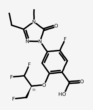 CCc1nn(-c2cc(O[C@@H](CF)C(F)F)c(C(=O)O)cc2F)c(=O)n1C